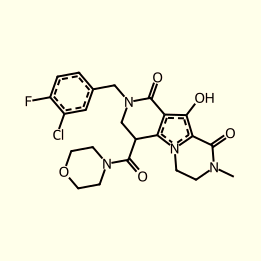 CN1CCn2c(c(O)c3c2C(C(=O)N2CCOCC2)CN(Cc2ccc(F)c(Cl)c2)C3=O)C1=O